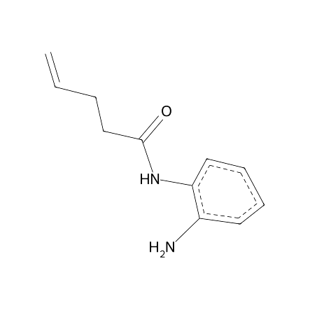 C=CCCC(=O)Nc1ccccc1N